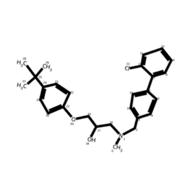 CN(Cc1ccc(-c2ccccc2Cl)cc1)CC(O)COc1ccc(C(C)(C)C)cc1